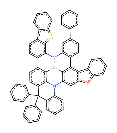 c1ccc(-c2ccc3c(c2)N(c2cccc4c2sc2ccccc24)B2c4cccc5c4N(c4ccccc4C5(c4ccccc4)c4ccccc4)c4cc5oc6ccccc6c5c-3c42)cc1